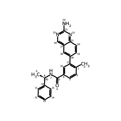 Cc1ccc(C(=O)N[C@H](C)c2ccccc2)cc1-c1ccc2nc(N)ncc2c1